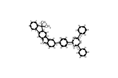 CC1(C)c2ccccc2-c2cc3sc4ccc(-c5ccc(-c6nc(-c7ccccc7)nc(-c7ccccc7)n6)cc5)cc4c3cc21